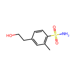 Cc1cc(CCO)ccc1S(N)(=O)=O